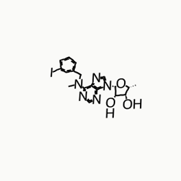 C[C@H]1O[C@@H](n2cnc3c(N(C)Cc4cccc(I)c4)ncnc32)[C@H](O)[C@@H]1O